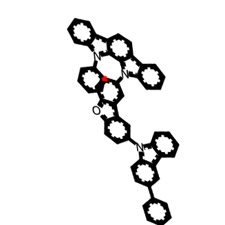 c1ccc(-c2ccc3c(c2)c2ccccc2n3-c2ccc3oc4ccc(-n5c6ccccc6c6ccc7c8ccccc8n(-c8ccccc8)c7c65)cc4c3c2)cc1